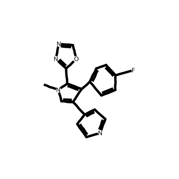 Cn1cc(-c2ccncc2)c(-c2ccc(F)cc2)c1-c1nnco1